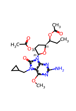 CCC(OC(C)=O)[C@@H]1C[C@@H](OC(C)=O)[C@H](n2c(=O)n(CC3CC3)c3c(OC)nc(N)nc32)O1